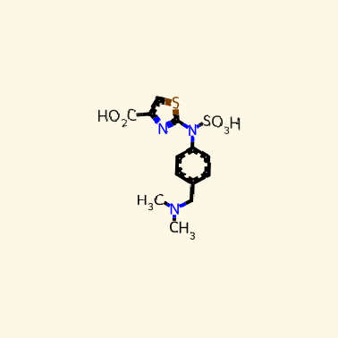 CN(C)Cc1ccc(N(c2nc(C(=O)O)cs2)S(=O)(=O)O)cc1